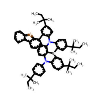 CCC(C)(C)c1ccc(N2c3ccc(C(C)(C)CC)cc3B3c4cc(C(C)(C)CC)ccc4N(c4ccc(C(C)(C)CC)cc4-c4cccc5c4sc4ccccc45)c4cccc2c43)cc1